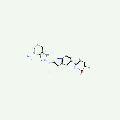 CCc1cc(C(=O)O)c(=O)[nH]c1-c1ccc2c(c1)cc(CN1C[C@H]3CCC[C@@H](N(C)C)[C@H]3C1)n2C.Cl